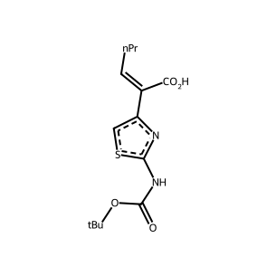 CCCC=C(C(=O)O)c1csc(NC(=O)OC(C)(C)C)n1